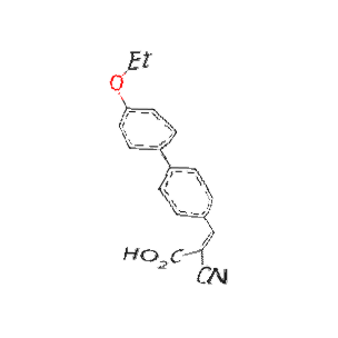 CCOc1ccc(-c2ccc(/C=C(/C#N)C(=O)O)cc2)cc1